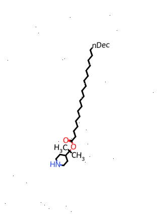 CCCCCCCCCCCCCCCCCCCCCCCCCCCCC(=O)OC(C)(C)C1CCNCC1